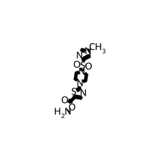 Cn1cnc(S(=O)(=O)N2CCN(c3ncc(C(=O)ON)s3)CC2)c1